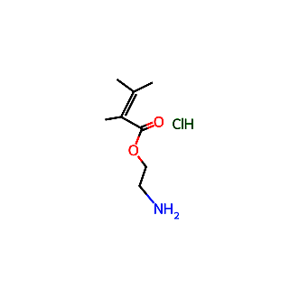 CC(C)=C(C)C(=O)OCCN.Cl